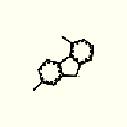 Cc1ccc2c(c1)[CH]c1cccc(C)c1-2